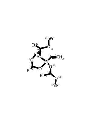 C=C[Si](OC(CC)OCCC)(OC(CC)OCCC)OC(CC)OCCC